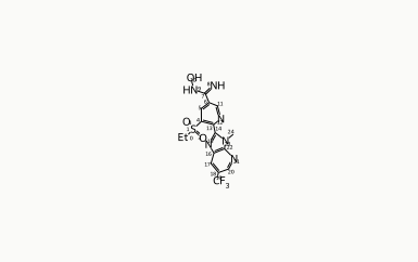 CCS(=O)(=O)c1cc(C(=N)NO)cnc1-c1nc2cc(C(F)(F)F)cnc2n1C